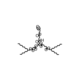 CCCCCCCCC(CCCCCC)COC(=O)CCCC(=O)OC(C(=O)NCCC(=O)OCCN1CCOCC1)C(C)(C)COC(=O)CC(=O)OCC(CCCCCC)CCCCCCCC